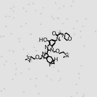 C[C@@H](C(=O)N(C)c1cc(O)c2nc(-c3nn(COCC[Si](C)(C)C)c4c3C[C@@H]3C[C@]3(C)C4)n(COCC[Si](C)(C)C)c2c1)N1CCOCC1